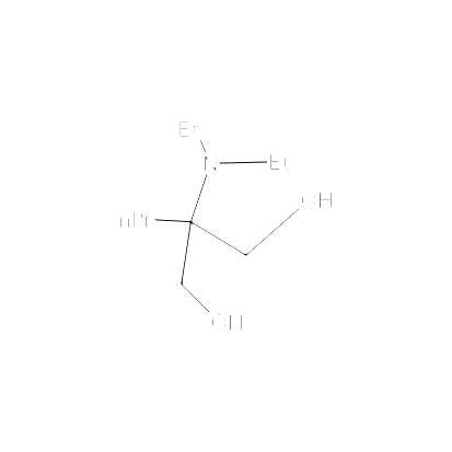 CCCC(CO)(CO)N(CC)CC